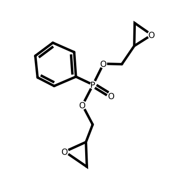 O=P(OCC1CO1)(OCC1CO1)c1ccccc1